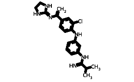 C=C(N=C1NCCN1)c1ccc(Nc2cccc(NC(=N)C(C)C)c2)c(Cl)c1